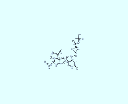 COC(=O)c1c(NS(=O)(=O)c2ccc(F)cc2CCC2CN(C(=O)OC(C)(C)C)C2)ccc(C2CC2C)c1OC